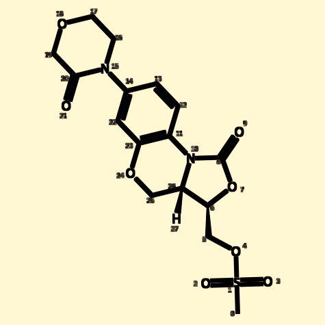 CS(=O)(=O)OC[C@@H]1OC(=O)N2c3ccc(N4CCOCC4=O)cc3OC[C@@H]12